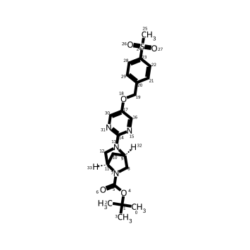 CC(C)(C)OC(=O)N1C[C@H]2C[C@@H]1CN2c1ncc(OCc2ccc(S(C)(=O)=O)cc2)cn1